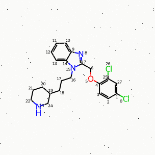 Clc1ccc(OCc2nc3ccccc3n2CCCC2CCCNC2)c(Cl)c1